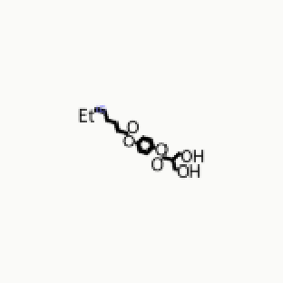 CC/C=C\CCCC(=O)Oc1ccc(OC(=O)C(CO)CO)cc1